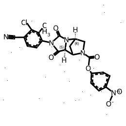 Cc1c(N2C(=O)[C@@H]3C4C[C@H](CN4C(=O)Oc4ccc([N+](=O)[O-])cc4)N3C2=O)ccc(C#N)c1Cl